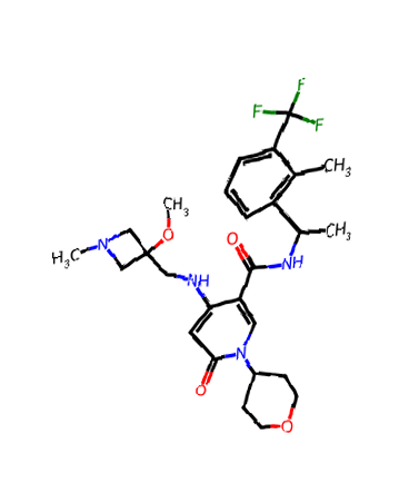 COC1(CNc2cc(=O)n(C3CCOCC3)cc2C(=O)NC(C)c2cccc(C(F)(F)F)c2C)CN(C)C1